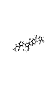 NCc1cc(-c2cccc(NC(=O)C3CC3)c2)ccc1O[C@H]1CCN(C(=O)[C@@H]2CCC(=O)N2)CC1(F)F